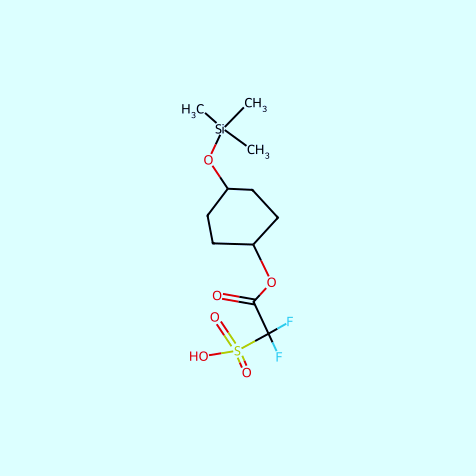 C[Si](C)(C)OC1CCC(OC(=O)C(F)(F)S(=O)(=O)O)CC1